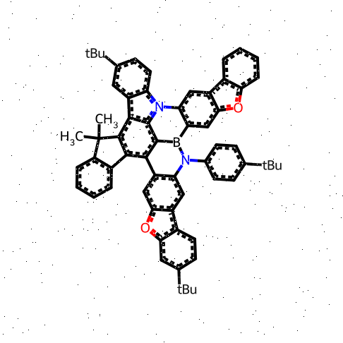 CC(C)(C)c1ccc(N2B3c4cc5oc6ccccc6c5cc4-n4c5ccc(C(C)(C)C)cc5c5c6c(c(c3c54)-c3cc4oc5cc(C(C)(C)C)ccc5c4cc32)-c2ccccc2C6(C)C)cc1